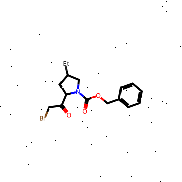 CCC1CC(C(=O)CBr)N(C(=O)OCc2ccccc2)C1